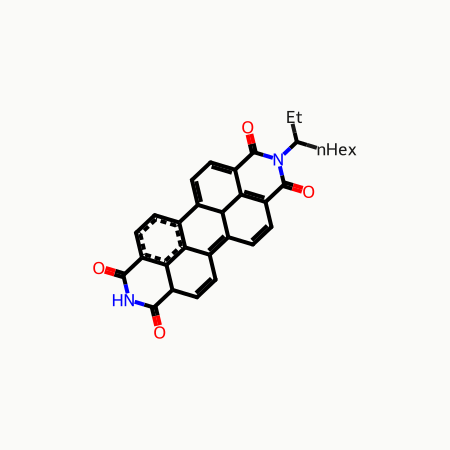 CCCCCCC(CC)N1C(=O)C2=CC=C3c4ccc5c6c4C(=C4C=CC(=C2C34)C1=O)C=CC6C(=O)NC5=O